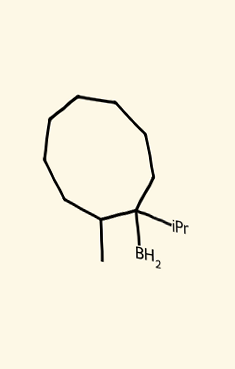 BC1(C(C)C)CCCCCCCC1C